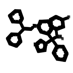 BC=C(c1ccccc1)c1ccccc1.Fc1cccc([SiH2]C(c2ccccc2)(c2ccccc2)n2ccnc2)c1